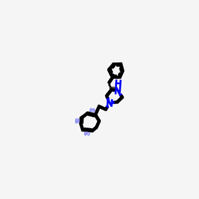 C1=C\C=C(\CCN2CCN[C@@H](Cc3ccccc3)C2)CC\C=C/1